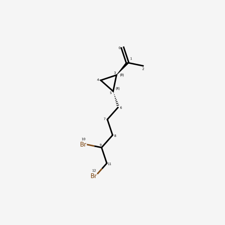 C=C(C)[C@@H]1C[C@H]1CCCC(Br)CBr